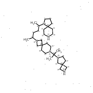 CC(CCC(C)N1CCCC12CCNCC2)N1CC2(CCN(C(C)(C)N3CCC4(CNC4)C3)CC2)C1